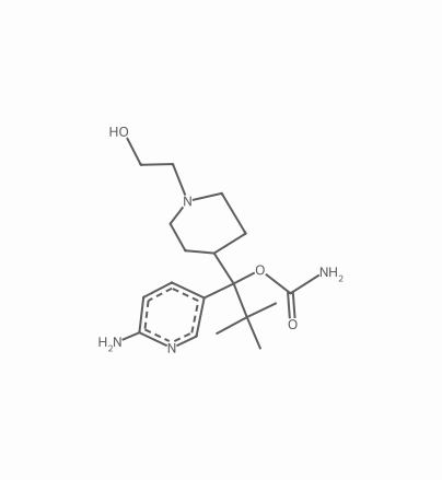 CC(C)(C)C(OC(N)=O)(c1ccc(N)nc1)C1CCN(CCO)CC1